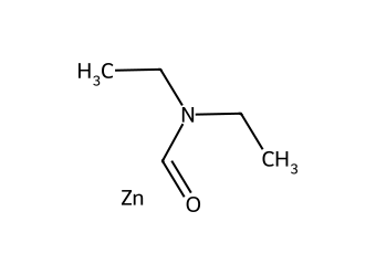 CCN(C=O)CC.[Zn]